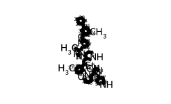 CCC(CC1CNCCC1n1nnc(C)c1-c1cccc(Oc2cc(C)cc(C3CCCC3)c2)n1)c1cc(C)cc(Oc2cccc(-c3c(C)nnn3C3CCNCC3)n2)c1